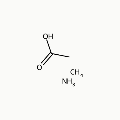 C.CC(=O)O.N